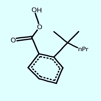 CCCC(C)(C)c1ccccc1C(=O)OO